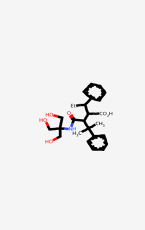 CCC(c1ccccc1)C(C(=O)O)C(C(=O)NC(CO)(CO)CO)C(C)(C)c1ccccc1